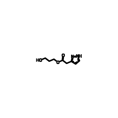 O=C(Cc1cc[nH]n1)OCCCO